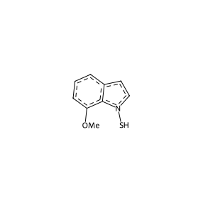 COc1cccc2ccn(S)c12